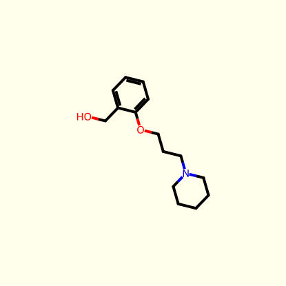 OCc1ccccc1OCCCN1CCCCC1